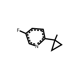 CC1(c2ccc(F)cn2)CC1